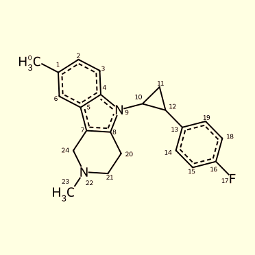 Cc1ccc2c(c1)c1c(n2C2CC2c2ccc(F)cc2)CCN(C)C1